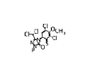 COC1=C(Cl)C(=S)C(n2c(C(Cl)Cl)nn(F)c2=O)C=C1Cl